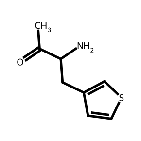 CC(=O)C(N)Cc1ccsc1